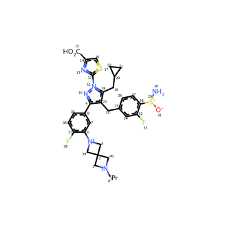 CC(C)N1CC2(CN(c3cc(-c4nn(-c5nc(C(=O)O)cs5)c(CC5CC5)c4Cc4ccc([S+](N)[O-])c(F)c4)ccc3F)C2)C1